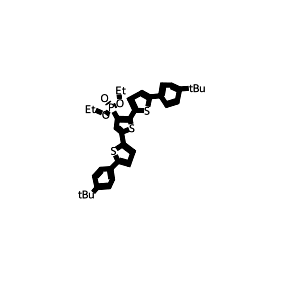 CCOP(=O)(OCC)c1cc(-c2ccc(-c3ccc(C(C)(C)C)cc3)s2)sc1-c1ccc(-c2ccc(C(C)(C)C)cc2)s1